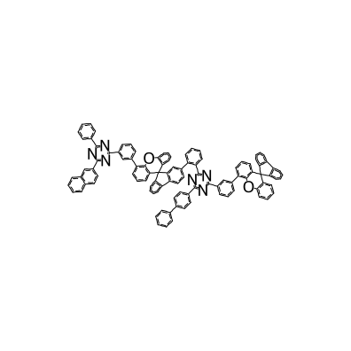 c1ccc(-c2ccc(-c3nc(-c4cccc(-c5cccc6c5Oc5ccccc5C65c6ccccc6-c6ccccc65)c4)nc(-c4ccccc4-c4ccc5c(c4)C4(c6ccccc6Oc6c(-c7cccc(-c8nc(-c9ccccc9)nc(-c9ccc%10ccccc%10c9)n8)c7)cccc64)c4ccccc4-5)n3)cc2)cc1